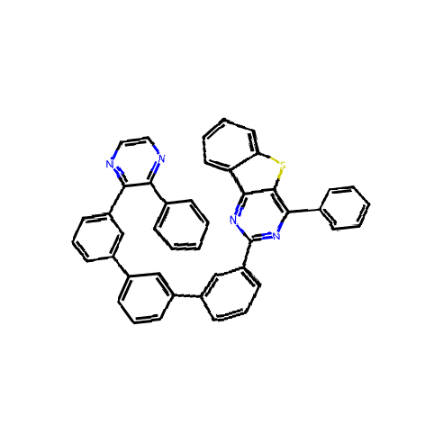 c1ccc(-c2nccnc2-c2cccc(-c3cccc(-c4cccc(-c5nc(-c6ccccc6)c6sc7ccccc7c6n5)c4)c3)c2)cc1